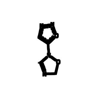 [C]1=NCON1c1cnno1